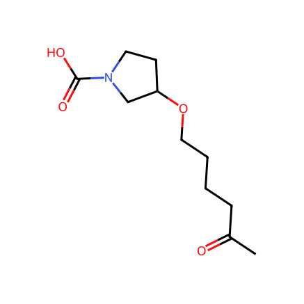 CC(=O)CCCCOC1CCN(C(=O)O)C1